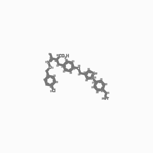 CC(=NOCc1ccc(Cl)cc1)C(Cc1ccc(OCc2cnn(-c3ccc(CC(C)C)cc3)c2)cc1)C(=O)O